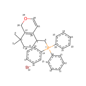 CC1(C)CCC(C[P+](c2ccccc2)(c2ccccc2)c2ccccc2)C2=C1COC=C2.[Br-]